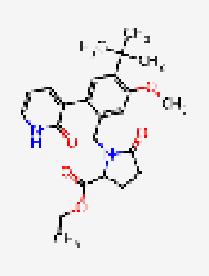 CCOC(=O)C1CCC(=O)N1Cc1cc(OC)c(C(C)(C)C)cc1-c1ccc[nH]c1=O